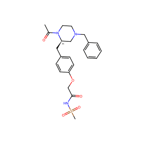 CC(=O)N1CCN(Cc2ccccc2)C[C@H]1Cc1ccc(OCC(=O)NS(C)(=O)=O)cc1